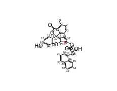 Cc1cccc2c1C(=O)OC21c2ccc(O)cc2Oc2cc(OP(=O)(O)Oc3cccc4ccccc34)ccc21